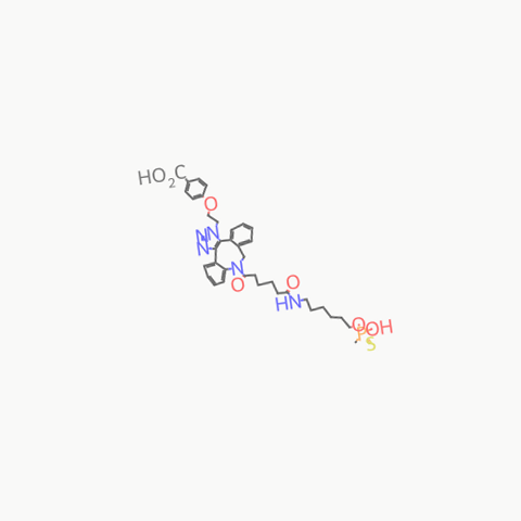 CP(O)(=S)OCCCCCCNC(=O)CCCCC(=O)N1Cc2ccccc2-c2c(nnn2CCOc2ccc(C(=O)O)cc2)-c2ccccc21